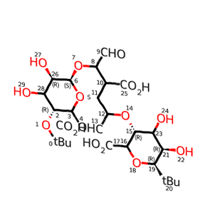 CC(C)(C)O[C@H]1C(C(=O)O)O[C@H](OC(C=O)C(CC(C=O)O[C@H]2C(C(=O)O)O[C@H](C(C)(C)C)[C@H](O)C2O)C(=O)O)[C@H](O)C1O